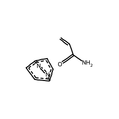 C=CC(N)=O.c1cc2ccc1nn2